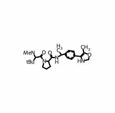 CNC(C(=O)N1CCCC1C(=O)NC(C)c1ccc(C2=C(C)OCN2)cc1)C(C)(C)C